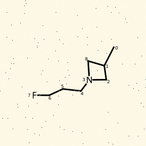 CC1CN(CCCF)C1